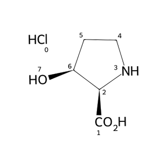 Cl.O=C(O)[C@@H]1NCC[C@@H]1O